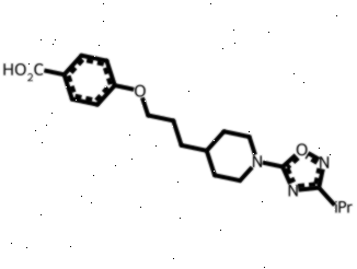 CC(C)c1noc(N2CCC(CCCOc3ccc(C(=O)O)cc3)CC2)n1